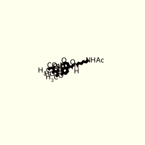 CC(=O)NCCCCNC(=O)Cc1cc(=O)oc2cc(OC(C)C(OS(=O)(=O)O)C(O)C(O)C(C)C(=O)O)ccc12